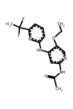 CCOc1cnc(NC(C)=O)cc1Nc1cccc(C(C)(F)F)n1